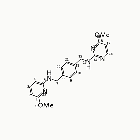 COc1cccc(NCc2ccc(CNc3nccc(OC)n3)cc2)n1